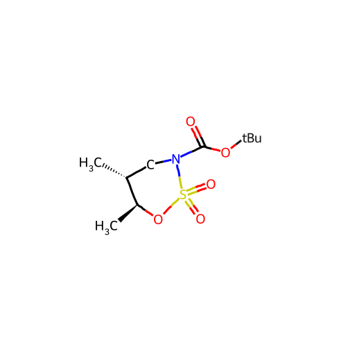 C[C@@H]1CN(C(=O)OC(C)(C)C)S(=O)(=O)O[C@H]1C